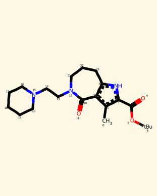 Cc1c(C(=O)OC(C)(C)C)[nH]c2c1C(=O)N(CCN1CCCCC1)CCC2